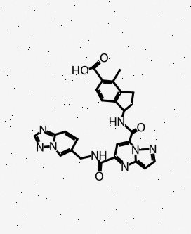 Cc1c(C(=O)O)ccc2c1CCC2NC(=O)c1cc(C(=O)NCc2ccc3ncnn3c2)nc2ccnn12